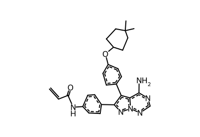 C=CC(=O)Nc1ccc(-c2nn3ncnc(N)c3c2-c2ccc(OC3CCC(C)(C)CC3)cc2)cc1